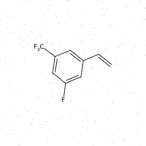 C=[C]c1cc(F)cc(C(F)(F)F)c1